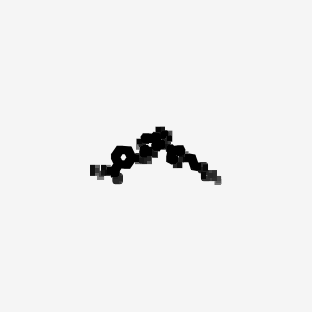 COCCn1cc(-n2nnc3cnc(NC4CCCC(C(N)=O)C4)nc32)cn1